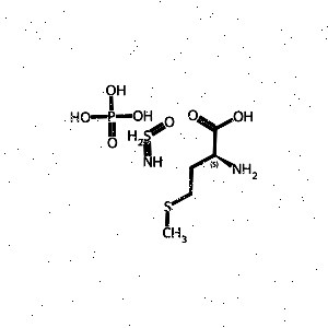 CSCC[C@H](N)C(=O)O.N=[SH2]=O.O=P(O)(O)O